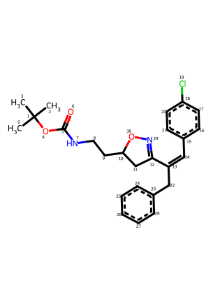 CC(C)(C)OC(=O)NCCC1CC(C(=Cc2ccc(Cl)cc2)Cc2ccccc2)=NO1